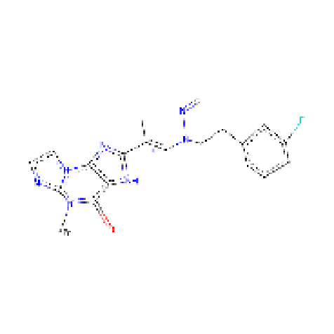 C=NN(/C=C(\C)c1nc2c([nH]1)c(=O)n(CCC)c1nccn21)CCc1cccc(F)c1